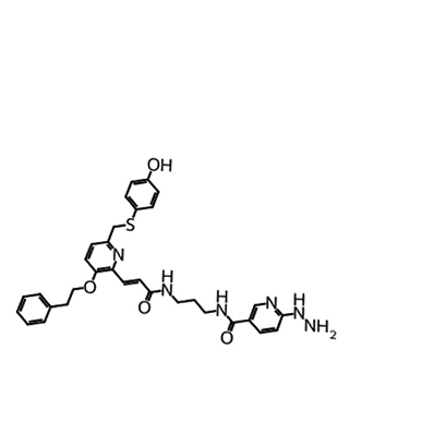 NNc1ccc(C(=O)NCCCNC(=O)C=Cc2nc(CSc3ccc(O)cc3)ccc2OCCc2ccccc2)cn1